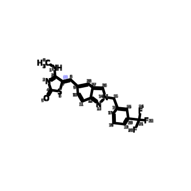 CNC1=NC(=O)S/C1=C\c1ccc2nn(Cc3cccc(C(F)(F)F)c3)cc2c1